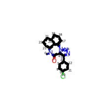 Cn1c(=O)c2c(-c3ccc(Cl)cc3)nnn2c2cccc3cccc1c32